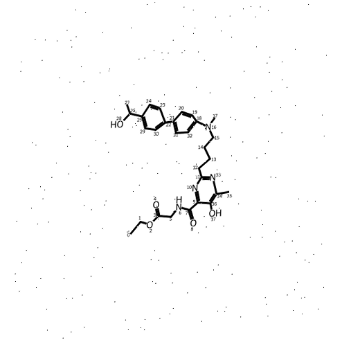 CCOC(=O)CNC(=O)c1nc(CCCCN(C)c2ccc(-c3ccc(C(C)O)cc3)cc2)nc(C)c1O